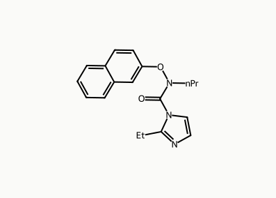 CCCN(Oc1ccc2ccccc2c1)C(=O)n1ccnc1CC